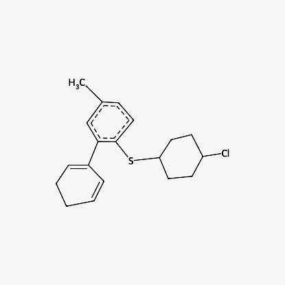 Cc1ccc(SC2CCC(Cl)CC2)c(C2=CCCC=C2)c1